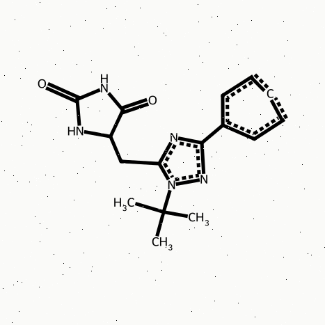 CC(C)(C)n1nc(-c2ccccc2)nc1CC1NC(=O)NC1=O